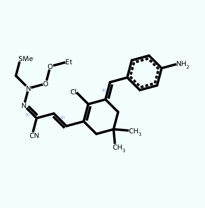 CCOON(CSC)/N=C(C#N)\C=C\C1=C(Cl)C(=C/c2ccc(N)cc2)/CC(C)(C)C1